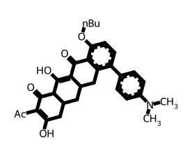 CCCCOc1ccc(-c2ccc(N(C)C)cc2)c2c1C(=O)C1=C(O)C3C(=O)C(C(C)=O)=C(O)CC3CC1C2